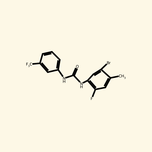 Cc1cc(F)c(NC(=O)Nc2cccc(C(F)(F)F)c2)cc1Br